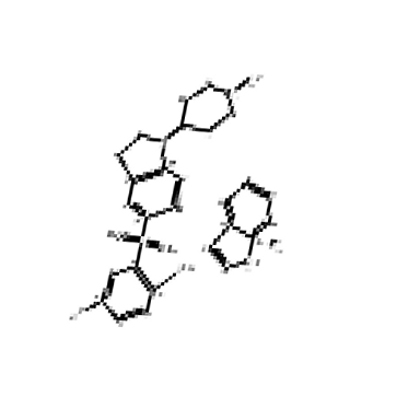 CC(C)N1CCC(N2CCc3cc(S(=O)(=O)c4cc(F)ccc4F)ccc32)CC1.Cl.c1ccc2[nH]ccc2c1